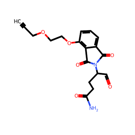 C#CCOCCOc1cccc2c1C(=O)N(C(C=O)CCC(N)=O)C2=O